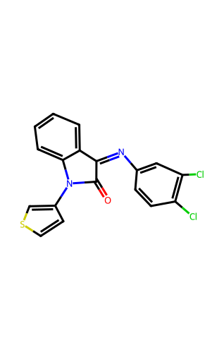 O=C1C(=Nc2ccc(Cl)c(Cl)c2)c2ccccc2N1c1ccsc1